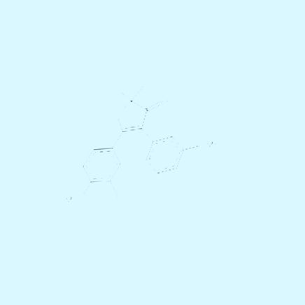 COc1cccc(C2=C(c3ccc(SC)c(F)c3)OC(C)(C)C2=O)c1